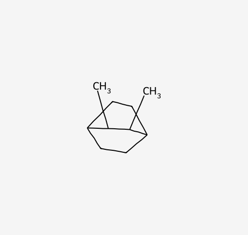 CC1C2CCC(CC2)C1C